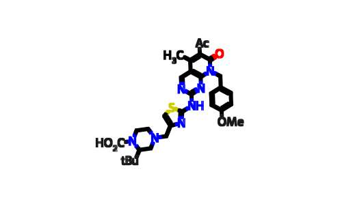 COc1ccc(Cn2c(=O)c(C(C)=O)c(C)c3cnc(Nc4nc(CN5CCN(C(=O)O)C(C(C)(C)C)C5)cs4)nc32)cc1